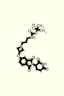 CC(C)(C)OC(=O)NCCCN1CC(Oc2ccc3c(c2)C(=O)N(C2CCC(=O)NC2=O)C3=O)C1